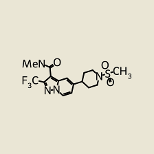 CNC(=O)c1c(C(F)(F)F)nn2ccc(C3CCN(S(C)(=O)=O)CC3)cc12